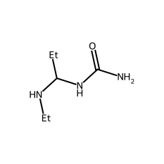 CCNC(CC)NC(N)=O